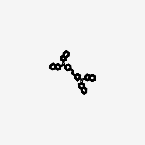 C1=Cc2cc(N(C3=CC=C(/C=C/c4ccc(N(c5ccc6ccccc6c5)c5ccc6ccccc6c5)cc4)CC3)c3ccc4ccccc4c3)ccc2CC1